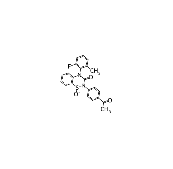 CC(=O)c1ccc(N2C(=O)N(c3c(C)cccc3F)c3ccccc3[S+]2[O-])cc1